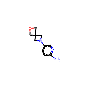 Nc1ccc(N2CC3(COC3)C2)cn1